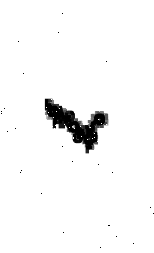 O=C(NC1CCC(NC(=O)c2cc(F)cnc2NCCc2ccccc2)CC1)c1cn2cc(F)ccc2n1